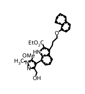 CCOC(=O)c1[nH]c2c(-c3c(CO)nn(C)c3OC)cccc2c1CCCOc1cccc2ccccc12